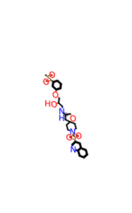 CS(=O)(=O)c1cccc(OCC(O)CN[C@H]2COC3(CCN(S(=O)(=O)c4cnc5ccccc5c4)CC3)C2)c1